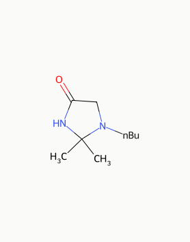 CCCCN1CC(=O)NC1(C)C